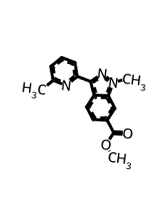 COC(=O)c1ccc2c(-c3cccc(C)n3)nn(C)c2c1